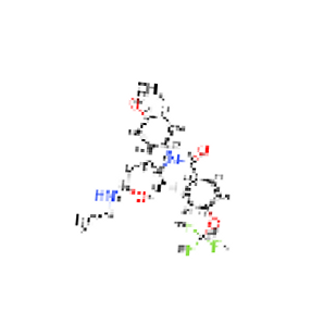 CCNC(=O)Cc1c(C)n(C(=O)c2ccc(OC(F)(F)F)cc2)c2ccc(OC)cc12